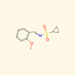 COc1ccccc1/C=N/S(=O)(=O)C1CC1